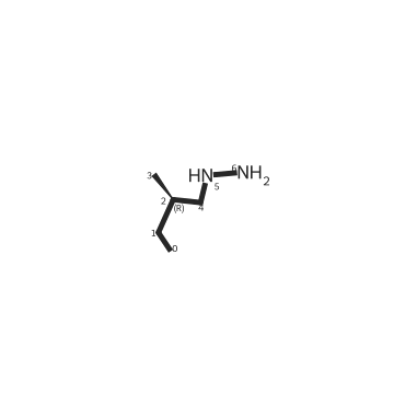 CC[C@@H](C)CNN